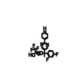 CC(O)(c1cnc(C2=CCNCC2)nc1)c1ccc(F)cc1F.O=C(O)C(F)(F)F